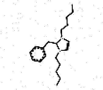 CCCCCN1C=CN(CCCCC)C1Cc1ccccc1